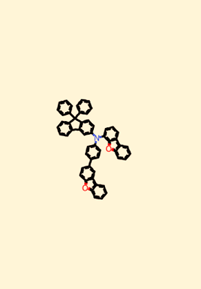 c1ccc(C2(c3ccccc3)c3ccccc3-c3cc(N(c4ccc(-c5ccc6oc7ccccc7c6c5)cc4)c4cccc5c4oc4ccccc45)ccc32)cc1